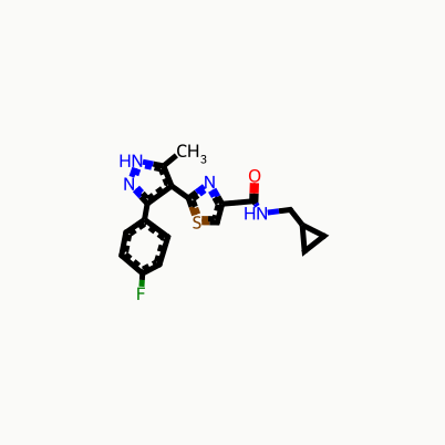 Cc1[nH]nc(-c2ccc(F)cc2)c1-c1nc(C(=O)NCC2CC2)cs1